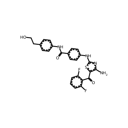 Nc1nc(Nc2ccc(C(=O)Nc3ccc(CCO)cc3)cc2)sc1C(=O)c1c(F)cccc1F